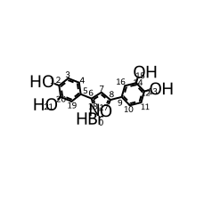 Br.Oc1ccc(-c2cc(-c3ccc(O)c(O)c3)on2)cc1O